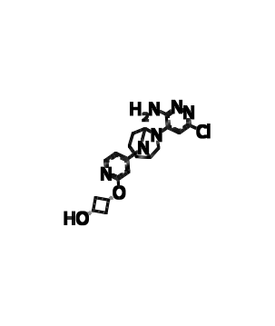 Nc1nnc(Cl)cc1N1CC2CCCC1CN2c1ccnc(O[C@H]2C[C@@H](O)C2)c1